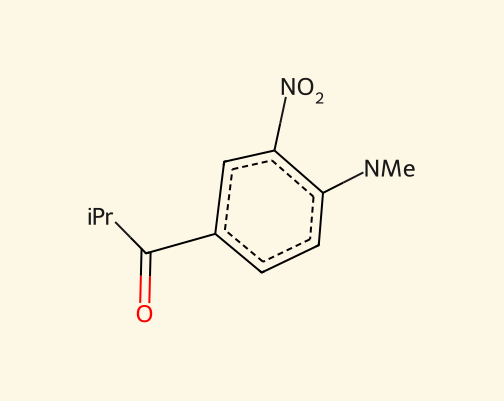 CNc1ccc(C(=O)C(C)C)cc1[N+](=O)[O-]